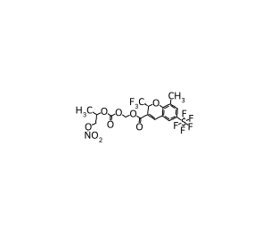 Cc1cc(S(F)(F)(F)(F)F)cc2c1O[C@H](C(F)(F)F)C(C(=O)OCOC(=O)OC(C)CO[N+](=O)[O-])=C2